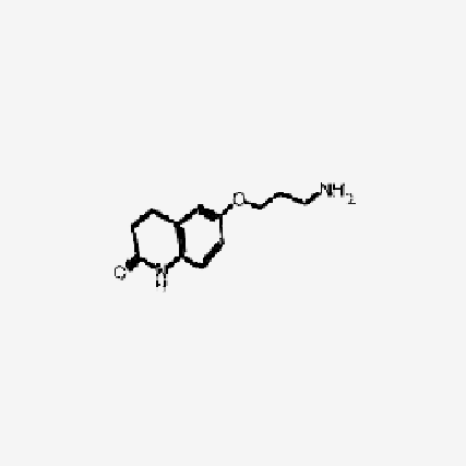 NCCCOc1ccc2c(c1)CCC(=O)N2